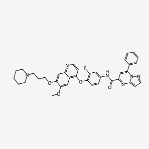 COc1cc2c(Oc3ccc(NC(=O)c4cc(-c5ccccc5)n5nccc5n4)cc3F)ccnc2cc1OCCCN1CCCCC1